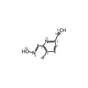 C#Cc1ccc(F)c(/C=N/O)n1